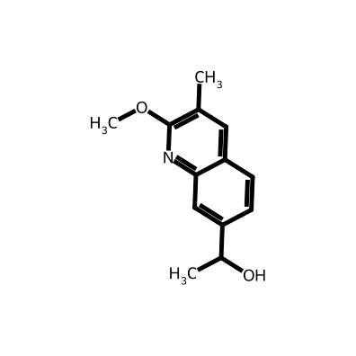 COc1nc2cc(C(C)O)ccc2cc1C